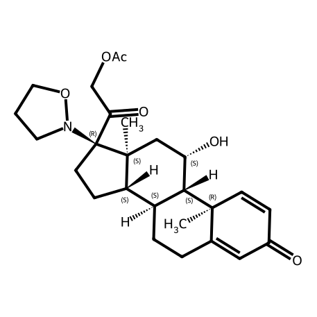 CC(=O)OCC(=O)[C@@]1(N2CCCO2)CC[C@H]2[C@@H]3CCC4=CC(=O)C=C[C@]4(C)[C@H]3[C@@H](O)C[C@@]21C